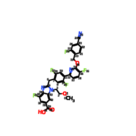 COCCn1c(Cc2cc(F)c(-c3ccc(F)c(OCc4ccc(C#N)cc4F)n3)cc2F)nc2c(F)cc(C(=O)O)cc21